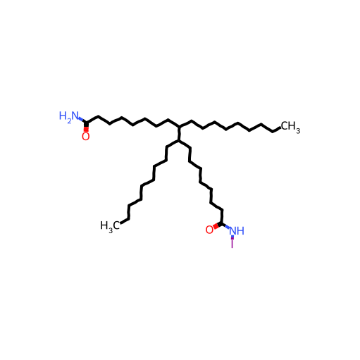 CCCCCCCCCC(CCCCCCCC(N)=O)C(CCCCCCCCC)CCCCCCCC(=O)NI